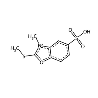 CSc1oc2ccc(S(=O)(=O)O)cc2[n+]1C